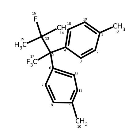 Cc1ccc(C(c2ccc(C)cc2)(C(C)(C)F)C(F)(F)F)cc1